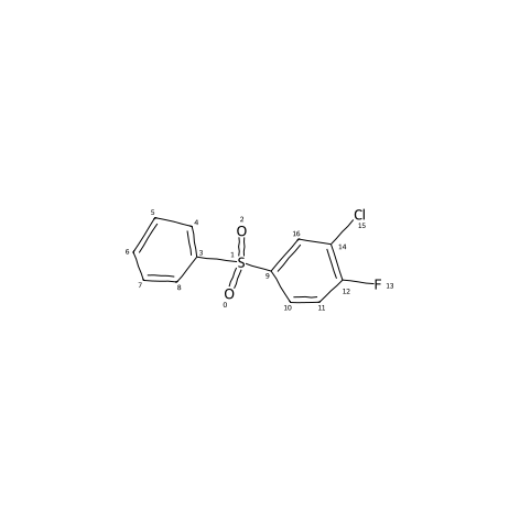 O=S(=O)(c1ccccc1)c1ccc(F)c(Cl)c1